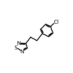 Clc1ccc(CCc2cnsn2)cc1